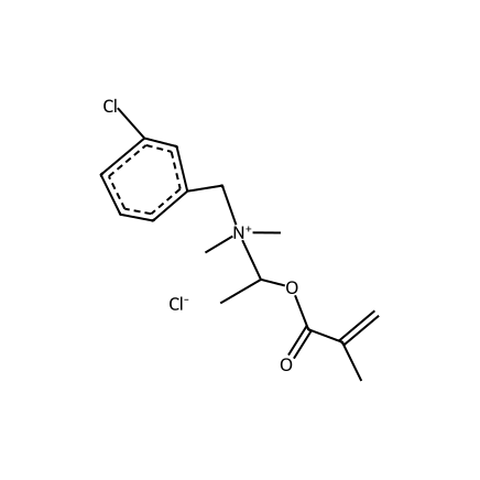 C=C(C)C(=O)OC(C)[N+](C)(C)Cc1cccc(Cl)c1.[Cl-]